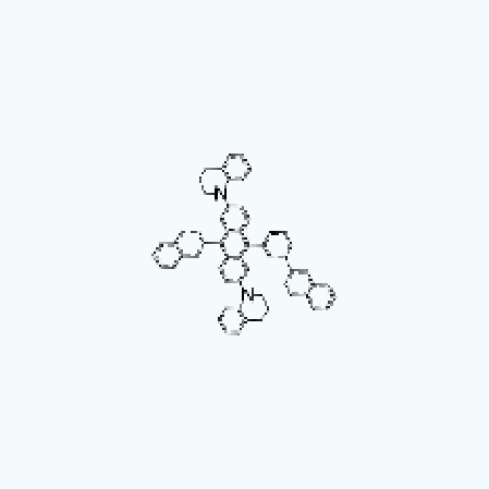 c1cc(-c2ccc3ccccc3c2)cc(-c2c3ccc(N4CCCc5ccccc54)cc3c(-c3ccc4ccccc4c3)c3ccc(N4CCCc5ccccc54)cc23)c1